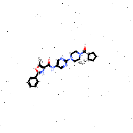 O=C(Nc1cnc(N2CCN(C(=O)[C@H]3CCC[C@@H]3C(=O)O)CC2)nc1)c1nc(-c2ccccc2)oc1C(F)(F)F